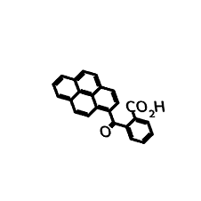 O=C(O)c1ccccc1C(=O)c1ccc2ccc3cccc4ccc1c2c34